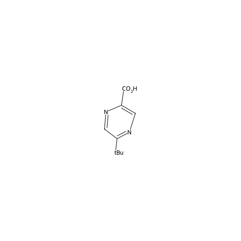 CC(C)(C)c1cnc(C(=O)O)cn1